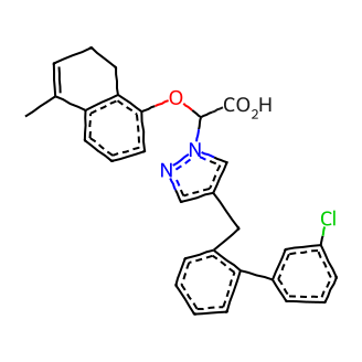 CC1=CCCc2c(OC(C(=O)O)n3cc(Cc4ccccc4-c4cccc(Cl)c4)cn3)cccc21